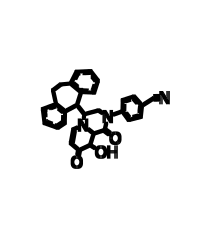 N#Cc1ccc(N2CC(C3c4ccccc4CCc4ccccc43)N3C=CC(=O)C(O)C3C2=O)cc1